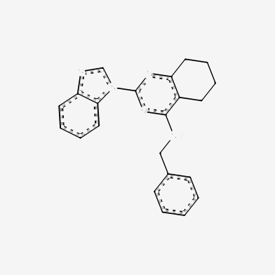 c1ccc(CNc2nc(-n3cnc4ccccc43)nc3c2CCCC3)cc1